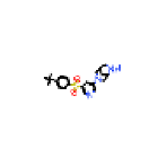 CC(C)(C)c1ccc(S(=O)(=O)c2cncc(N3CC4CNC(C4)C3)c2)cc1